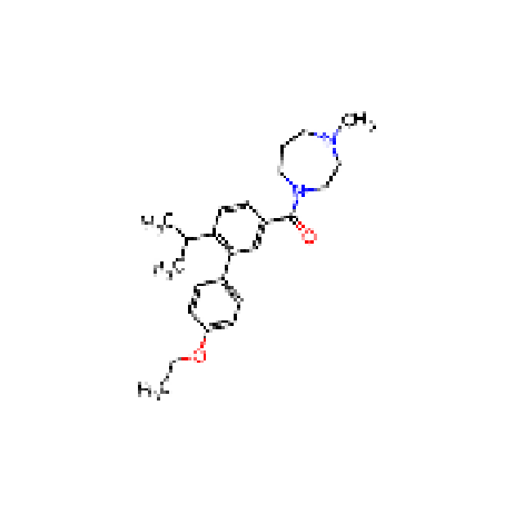 CCOc1ccc(-c2cc(C(=O)N3CCCN(C)CC3)ccc2C(C)C)cc1